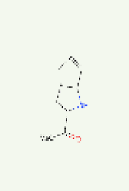 COC(=O)C1CC2CC=CC2N1